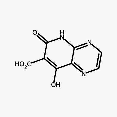 O=C(O)c1c(O)c2nccnc2[nH]c1=O